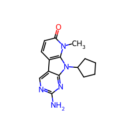 Cn1c(=O)ccc2c3cnc(N)nc3n(C3CCCC3)c21